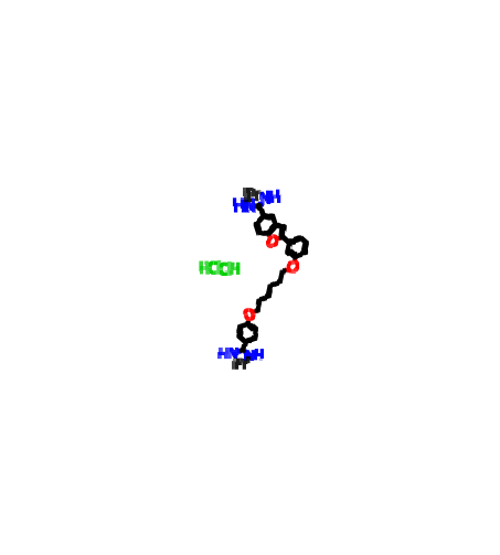 CC(C)NC(=N)c1ccc(OCCCCCCOc2cccc(-c3cc4cc(C(=N)NC(C)C)ccc4o3)c2)cc1.Cl.Cl